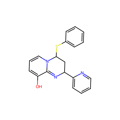 OC1=CC=CN2C1=NC(c1ccccn1)CC2Sc1ccccc1